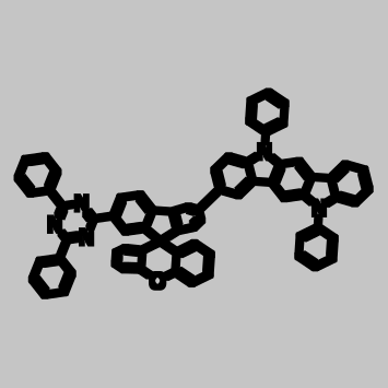 c1ccc(-c2nc(-c3ccccc3)nc(-c3ccc4c(c3)C3(c5ccccc5Oc5ccccc53)c3ccc(-c5ccc6c(c5)c5cc7c(cc5n6-c5ccccc5)c5ccccc5n7-c5ccccc5)cc3-4)n2)cc1